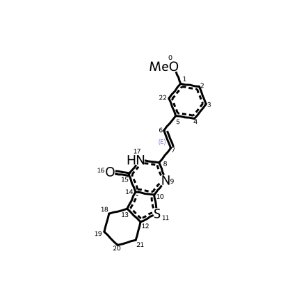 COc1cccc(/C=C/c2nc3sc4c(c3c(=O)[nH]2)CCCC4)c1